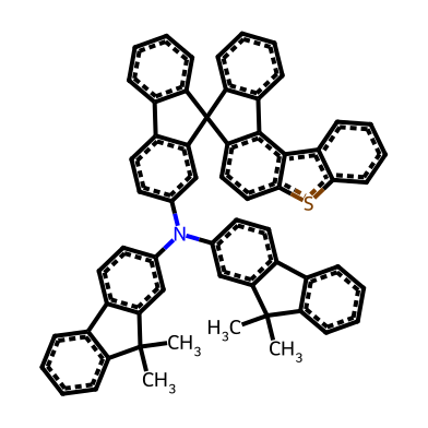 CC1(C)c2ccccc2-c2ccc(N(c3ccc4c(c3)C(C)(C)c3ccccc3-4)c3ccc4c(c3)C3(c5ccccc5-4)c4ccccc4-c4c3ccc3sc5ccccc5c43)cc21